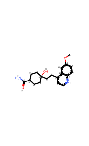 COc1ccc2nccc(CC[C@]3(O)CC[C@@H](C(N)=O)CC3)c2c1